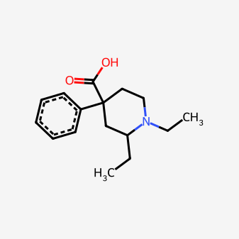 CCC1CC(C(=O)O)(c2ccccc2)CCN1CC